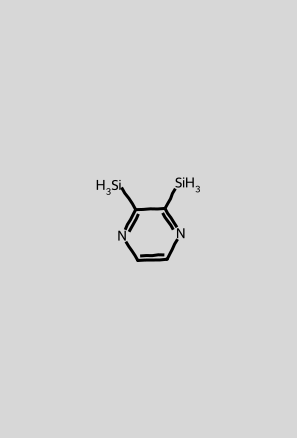 [SiH3]c1nccnc1[SiH3]